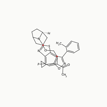 CC(=O)c1cc(F)c2nc(N3C4CC[C@H]3CC(OCc3c(-c5ccccc5C)noc3C3CC3)C4)sc2c1